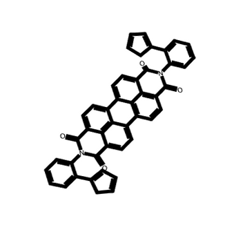 O=C1c2ccc3c4ccc5c6c(ccc(c7ccc(c2c37)C(=O)N1c1ccccc1C1=CC=CC1)c64)C(=O)N(c1ccccc1C1=CC=CC1)C5=O